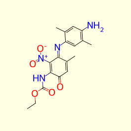 CCOC(=O)NC1=C([N+](=O)[O-])C(=Nc2cc(C)c(N)cc2C)C(C)=CC1=O